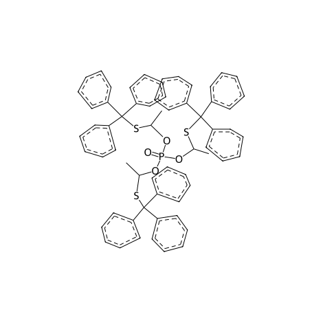 CC(OP(=O)(OC(C)SC(c1ccccc1)(c1ccccc1)c1ccccc1)OC(C)SC(c1ccccc1)(c1ccccc1)c1ccccc1)SC(c1ccccc1)(c1ccccc1)c1ccccc1